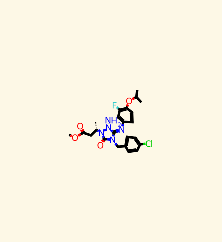 COC(=O)C[C@H](C)n1c(=O)n(Cc2ccc(Cl)cc2)/c(=N/c2ccc(OC(C)C)c(F)c2)n1N